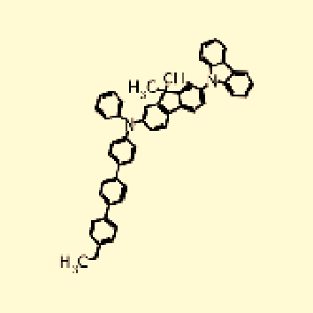 CCc1ccc(-c2ccc(-c3ccc(N(c4ccccc4)c4ccc5c(c4)C(C)(C)c4cc(-n6c7ccccc7c7ccccc76)ccc4-5)cc3)cc2)cc1